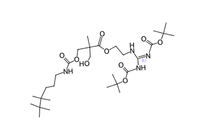 CC(C)(C)OC(=O)/N=C(\NCCOC(=O)C(C)(CO)COC(=O)NCCCC(C)(C)C(C)(C)C)NC(=O)OC(C)(C)C